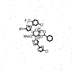 CO[C@@H]1[C@@H](n2cc(-c3nc(Cl)cs3)nn2)[C@H]2OC(c3ccccc3)OC[C@H]2O[C@H]1c1cc(C(C)C)nn1-c1cc(Cl)ccc1C(F)(F)F